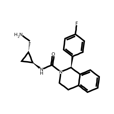 NC[C@H]1C[C@@H]1NC(=O)N1CCc2ccccc2[C@@H]1c1ccc(F)cc1